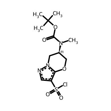 CN(C(=O)OC(C)(C)C)[C@H]1COc2c(S(=O)(=O)Cl)cnn2C1